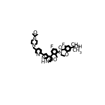 CC(C)(O)c1cc(F)c2c(c1)OCCN(c1cc(F)cc(-c3ccnc4[nH]c(-c5ccc(CN6CCN(C7COC7)CC6)cn5)cc34)c1CO)C2=O